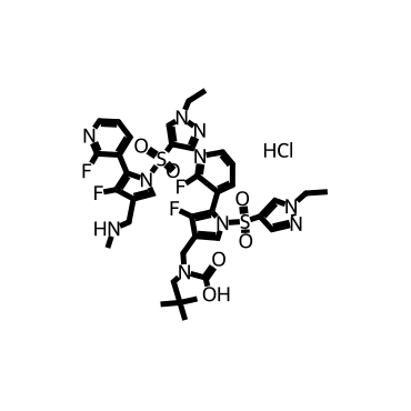 CCn1cc(S(=O)(=O)n2cc(CN(CC(C)(C)C)C(=O)O)c(F)c2-c2cccnc2F)cn1.CCn1cc(S(=O)(=O)n2cc(CNC)c(F)c2-c2cccnc2F)cn1.Cl